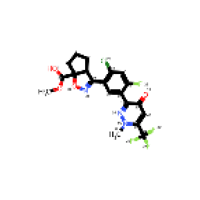 COC(O)C12CCCC1C(c1cc(-c3nn(C)c(C(F)(F)F)cc3=O)c(F)cc1Cl)=NO2